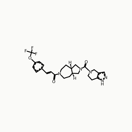 O=C(C=Cc1ccc(OC(F)(F)F)cc1)N1CC[C@@H]2CN(C(=O)N3CCc4[nH]ncc4C3)C[C@@H]2CC1